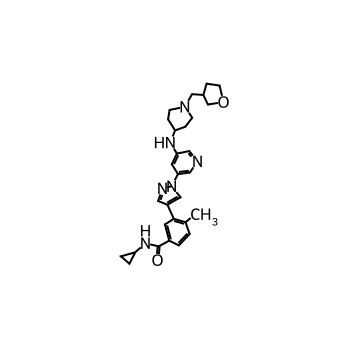 Cc1ccc(C(=O)NC2CC2)cc1-c1cnn(-c2cncc(NC3CCN(CC4CCOC4)CC3)c2)c1